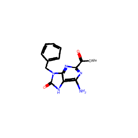 COC(=O)c1nc(N)c2[nH]c(=O)n(Cc3ccccc3)c2n1